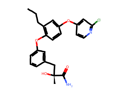 CCCc1cc(Oc2ccnc(Cl)c2)ccc1Oc1cccc(C[C@@](C)(O)C(N)=O)c1